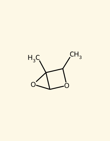 CC1OC2OC12C